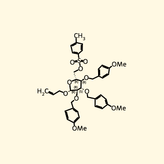 C=CCO[C@@H]1O[C@H](COS(=O)(=O)c2ccc(C)cc2)[C@@H](OCc2ccc(OC)cc2)[C@H](OCc2ccc(OC)cc2)[C@H]1OCc1ccc(OC)cc1